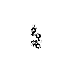 CC1(c2ccncc2NC(=O)c2ccnc(Nc3ccc(C(F)(F)F)cn3)c2)OCCO1